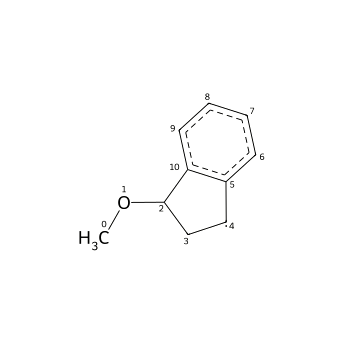 COC1C[CH]c2ccccc21